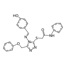 O=C(CSc1nnc(COc2ccccc2)n1N=Cc1ccc(O)cc1)Nc1ccccc1